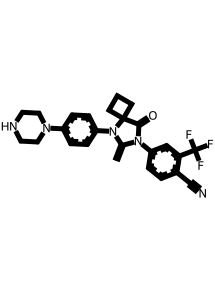 C=C1N(c2ccc(C#N)c(C(F)(F)F)c2)C(=O)C2(CCC2)N1c1ccc(N2CCNCC2)cc1